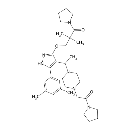 Cc1cc(C)cc(-c2[nH]nc(OCC(C)(C)C(=O)N3CCCC3)c2C(C)N2CCN(CC(=O)N3CCCC3)CC2)c1